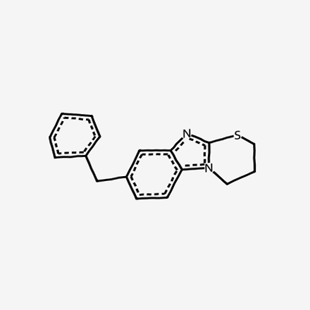 c1ccc(Cc2ccc3c(c2)nc2n3CCCS2)cc1